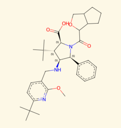 COc1nc(C(C)(C)C)ccc1CN[C@H]1[C@H](C(C)(C)C)[C@@H](C(=O)O)N(C(=O)C2OCC3CCCC32)[C@H]1c1ccccc1